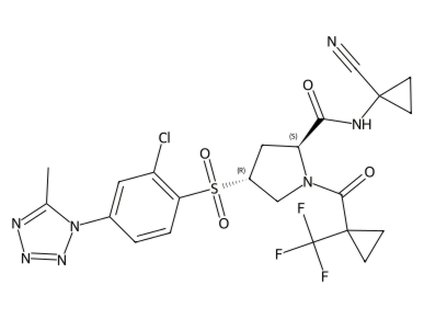 Cc1nnnn1-c1ccc(S(=O)(=O)[C@@H]2C[C@@H](C(=O)NC3(C#N)CC3)N(C(=O)C3(C(F)(F)F)CC3)C2)c(Cl)c1